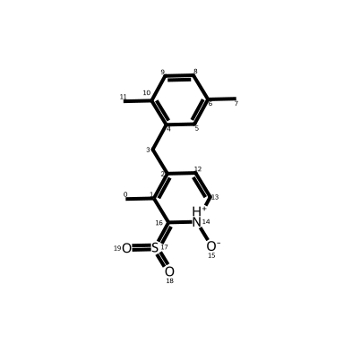 CC1=C(Cc2cc(C)ccc2C)C=C[NH+]([O-])C1=S(=O)=O